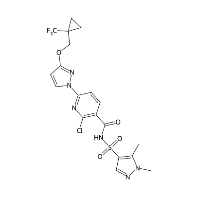 Cc1c(S(=O)(=O)NC(=O)c2ccc(-n3ccc(OCC4(C(F)(F)F)CC4)n3)nc2Cl)cnn1C